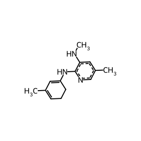 CNc1cc(C)cnc1NC1=CC(C)=CCC1